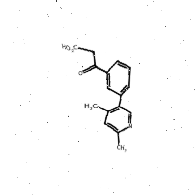 Cc1cc(C)c(-c2cccc(C(=O)CC(=O)O)c2)cn1